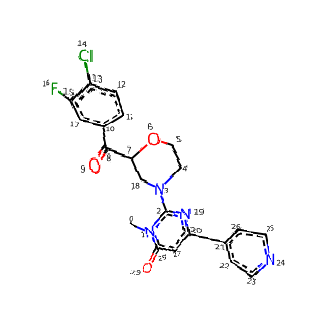 Cn1c(N2CCOC(C(=O)c3ccc(Cl)c(F)c3)C2)nc(-c2ccncc2)cc1=O